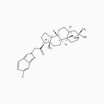 COC[C@]12CC[C@@](C)(O)C[C@@H]1CC[C@H]1[C@@H]3CC[C@H](C(=O)Cn4cc5ccc(F)cc5n4)[C@@]3(C)CC[C@@H]12